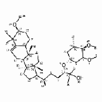 COC1C[C@H](O[C@H](CC[C@@H](C)C2CC[C@@]3(C)C4CC=C5C(CC[C@H](OF)C5(C)C)[C@]4(C)CC[C@]23C)C(C)(C)O)C[C@H](C)[C@H]1OC